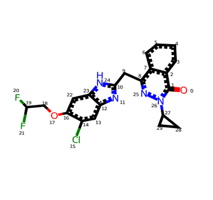 O=c1c2ccccc2c(Cc2nc3cc(Cl)c(OCC(F)F)cc3[nH]2)nn1C1CC1